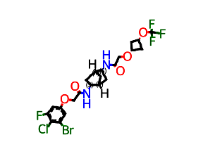 O=C(COc1cc(F)c(Cl)c(Br)c1)N[C@H]1C[C@H]2C[C@@H]1C[C@@H]2NC(=O)CO[C@H]1C[C@@H](OC(F)(F)F)C1